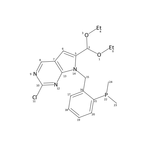 CCOC(OCC)c1cc2cnc(Cl)nc2n1Cc1ccccc1P(C)C